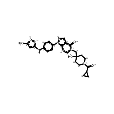 Cc1cc(Nc2ccc(-n3ncc4c(=O)n(CC5(O)CCN(C(=O)C6CC6)CC5)cnc43)cc2)no1